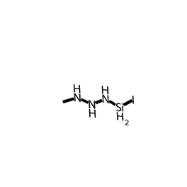 CNNN[SiH2]I